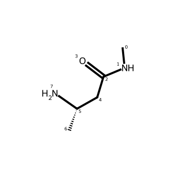 CNC(=O)C[C@H](C)N